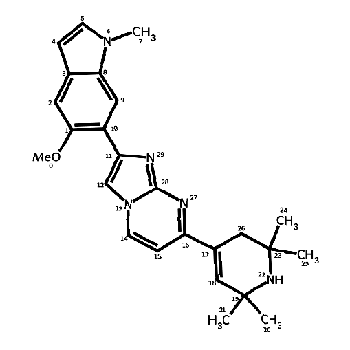 COc1cc2ccn(C)c2cc1-c1cn2ccc(C3=CC(C)(C)NC(C)(C)C3)nc2n1